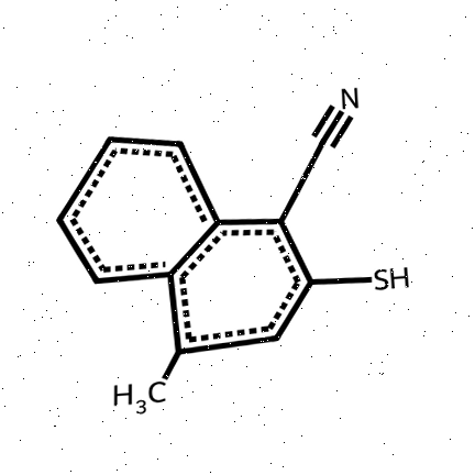 Cc1cc(S)c(C#N)c2ccccc12